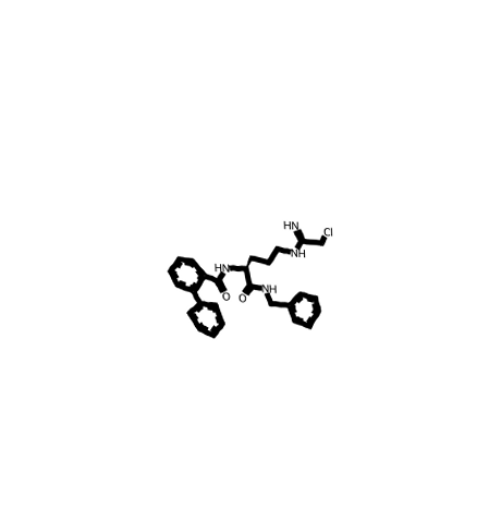 N=C(CCl)NCCC[C@H](NC(=O)c1ccccc1-c1ccccc1)C(=O)NCc1ccccc1